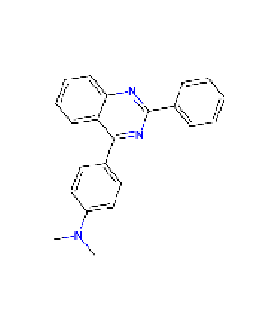 CN(C)c1ccc(-c2nc(-c3ccccc3)nc3ccccc23)cc1